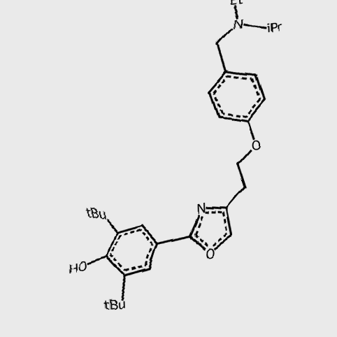 CCN(Cc1ccc(OCCc2coc(-c3cc(C(C)(C)C)c(O)c(C(C)(C)C)c3)n2)cc1)C(C)C